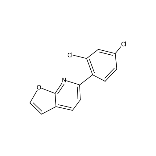 Clc1ccc(-c2ccc3ccoc3n2)c(Cl)c1